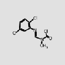 CN(C=Nc1cc(Cl)ccc1Cl)C(=O)Cl